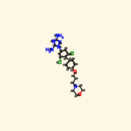 Nc1nc(N)n(-c2cc(Cl)c(-c3ccc(OCCCN4CCOCC4)cc3)c(Cl)c2)n1